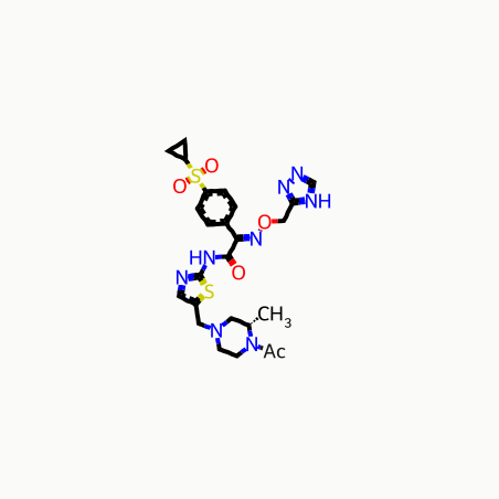 CC(=O)N1CCN(Cc2cnc(NC(=O)/C(=N/OCc3nnc[nH]3)c3ccc(S(=O)(=O)C4CC4)cc3)s2)C[C@@H]1C